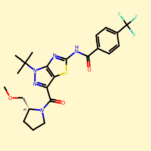 COC[C@H]1CCCN1C(=O)c1nn(C(C)(C)C)c2nc(NC(=O)c3ccc(C(F)(F)F)cc3)sc12